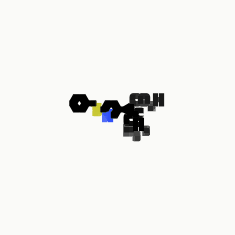 CC1(C)C(C(=O)O)C1c1ccc(SCc2ccccc2)nc1